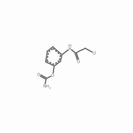 NC(=O)Oc1cccc(NC(=O)CCl)c1